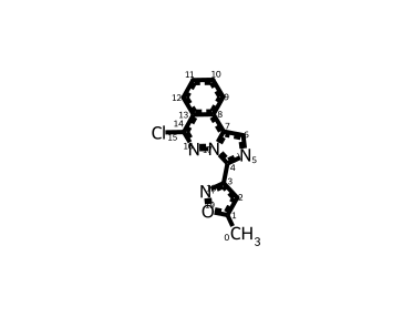 Cc1cc(-c2ncc3c4ccccc4c(Cl)nn23)no1